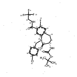 CC(C)(C)OC(=O)N[C@H]1CSc2cc(F)c(C(=O)NCC(F)(F)F)cc2N(Cc2ccc(Cl)cc2)C1=O